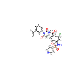 CC(C)c1[c]ccc(N2C(=O)C=C[N+](C)(C(=O)c3c(F)cc(NS(=O)(=O)c4ccncc4)cc3F)C2=O)c1